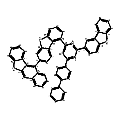 c1ccc(-c2ccc(-c3nc(-c4ccc5oc6ccccc6c5c4)nc(-c4cccc5oc6cc(-c7c8ccccc8cc8oc9ccccc9c78)ccc6c45)n3)cc2)cc1